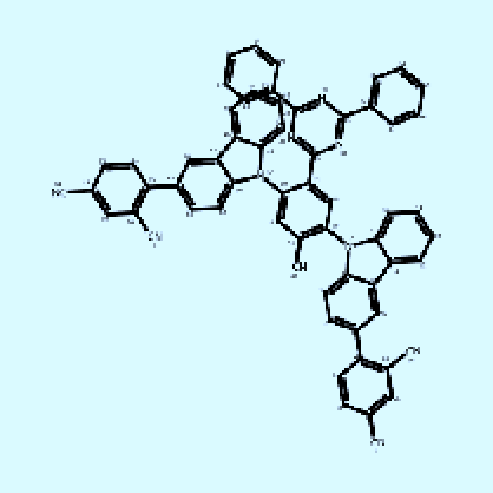 N#Cc1ccc(-c2ccc3c(c2)c2ccccc2n3-c2cc(-c3nc(-c4ccccc4)nc(-c4ccccc4)n3)c(-n3c4ccccc4c4cc(-c5ccc(C#N)cc5C#N)ccc43)cc2C#N)c(C#N)c1